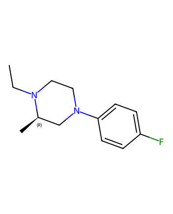 CCN1CCN(c2ccc(F)cc2)C[C@H]1C